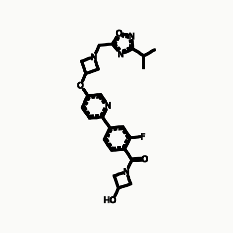 CC(C)c1noc(CN2CC(Oc3ccc(-c4ccc(C(=O)N5CC(O)C5)c(F)c4)nc3)C2)n1